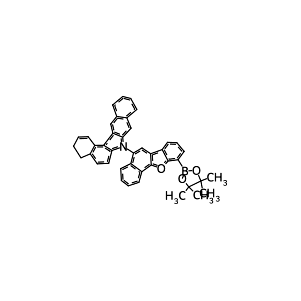 CC1(C)OB(c2cccc3c2oc2c4ccccc4c(-n4c5cc6ccccc6cc5c5c6c(ccc54)CCC=C6)cc32)OC1(C)C